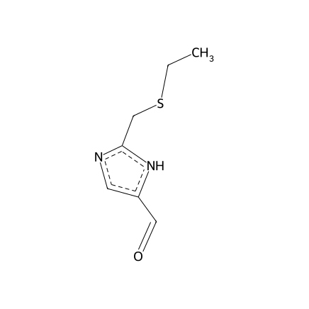 CCSCc1ncc(C=O)[nH]1